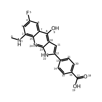 CNc1cc(F)cc2c(O)c3cc(-c4ccc(C(=O)O)cc4)[nH]c3nc12